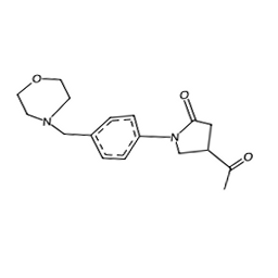 CC(=O)C1CC(=O)N(c2ccc(CN3CCOCC3)cc2)C1